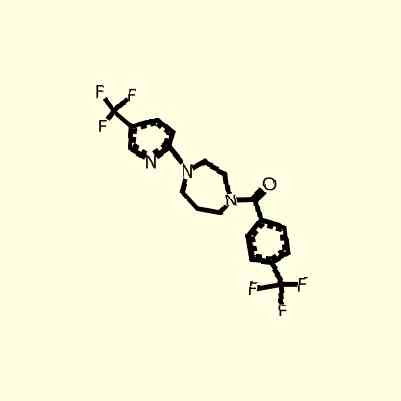 O=C(c1ccc(C(F)(F)F)cc1)N1CCCN(c2ccc(C(F)(F)F)cn2)CC1